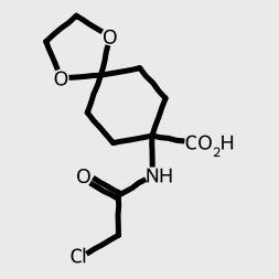 O=C(CCl)NC1(C(=O)O)CCC2(CC1)OCCO2